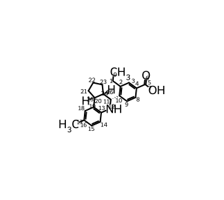 CCc1cc(C(=O)O)ccc1[C@@H]1Nc2ccc(C)cc2[C@@H]2CCC[C@@H]21